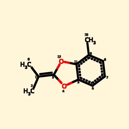 CC(C)=C1Oc2cccc(C)c2O1